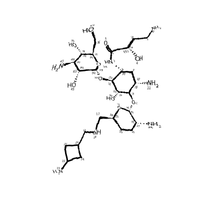 NCC[C@H](O)C(=O)N[C@@H]1C[C@H](N)C(O[C@H]2O[C@H](CNCC3CC(N)C3)CC[C@H]2N)[C@H](O)[C@H]1O[C@H]1O[C@H](CO)[C@@H](O)[C@H](N)[C@H]1O